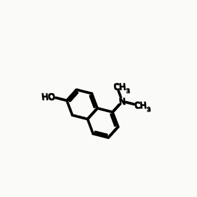 CN(C)C1=CC=CC2CC(O)=CC=C12